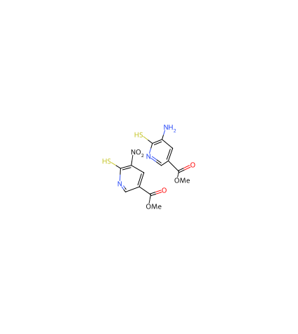 COC(=O)c1cnc(S)c(N)c1.COC(=O)c1cnc(S)c([N+](=O)[O-])c1